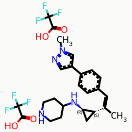 CC(=Cc1ccc(-c2cnn(C)c2)cc1)[C@@H]1C[C@H]1NC1CCNCC1.O=C(O)C(F)(F)F.O=C(O)C(F)(F)F